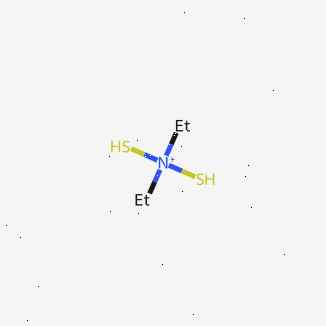 CC[N+](S)(S)CC